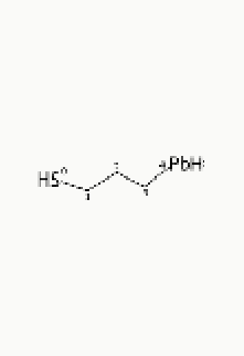 SCC[CH2][PbH]